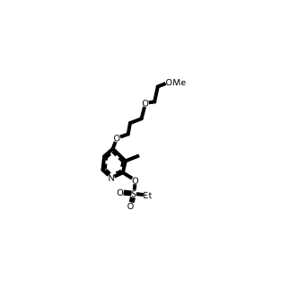 CCS(=O)(=O)Oc1nccc(OCCCOCCOC)c1C